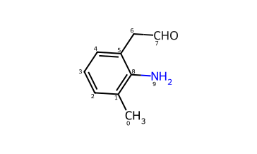 Cc1cccc(CC=O)c1N